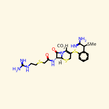 CSC(C(=N)N)c1ccccc1SC1=C(C(=O)O)N2C(=O)[C@@H](NC(=O)CSCCNC(=N)N)[C@@H]2SC1